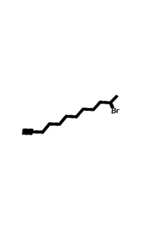 C#CCCCCCCCCC(C)Br